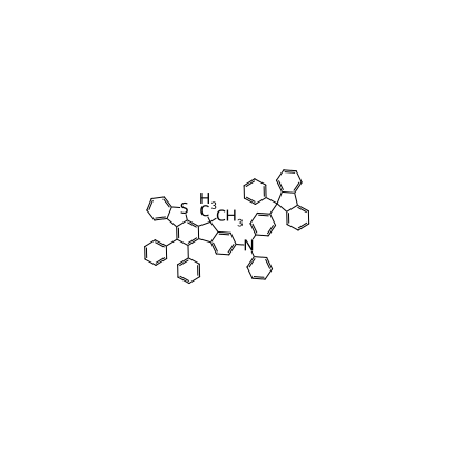 CC1(C)c2cc(N(c3ccccc3)c3ccc(C4(c5ccccc5)c5ccccc5-c5ccccc54)cc3)ccc2-c2c(-c3ccccc3)c(-c3ccccc3)c3c(sc4ccccc43)c21